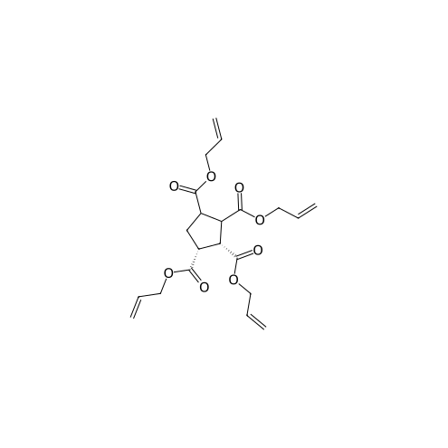 C=CCOC(=O)C1C[C@@H](C(=O)OCC=C)[C@@H](C(=O)OCC=C)C1C(=O)OCC=C